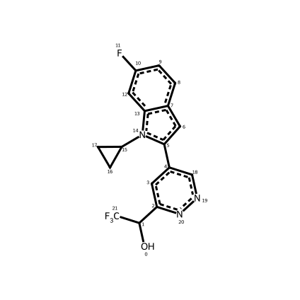 OC(c1cc(-c2cc3ccc(F)cc3n2C2CC2)cnn1)C(F)(F)F